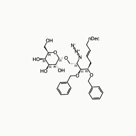 CCCCCCCCCCCC=CC[C@@H](OCc1ccccc1)[C@@H](OCc1ccccc1)[C@H](CO[C@H]1O[C@H](CO)[C@H](O)[C@H](O)[C@H]1O)N=[N+]=[N-]